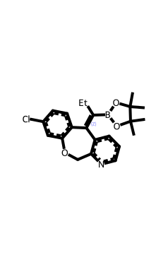 CC/C(B1OC(C)(C)C(C)(C)O1)=C1\c2ccc(Cl)cc2OCc2ncccc21